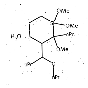 CCCOC(CCC)C1CCC[Si](OC)(OC)C1(CCC)OC.O